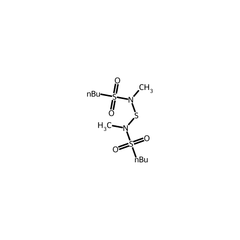 CCCCS(=O)(=O)N(C)SN(C)S(=O)(=O)CCCC